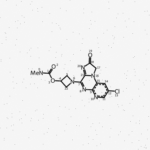 CNC(=O)OC1CN(C2=Nc3ncc(Cl)cc3N3CC(=O)N=C23)C1